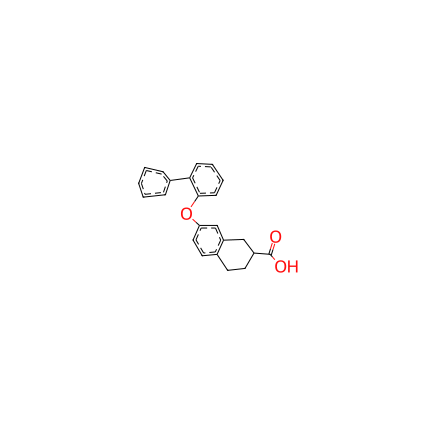 O=C(O)C1CCc2ccc(Oc3ccccc3-c3ccccc3)cc2C1